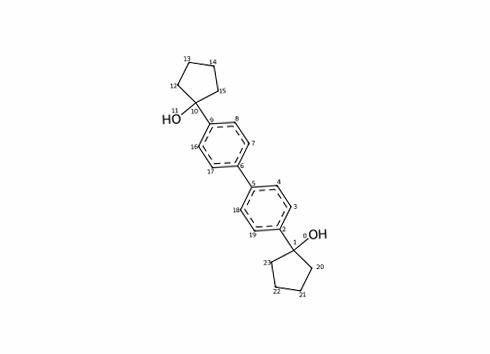 OC1(c2ccc(-c3ccc(C4(O)CCCC4)cc3)cc2)CCCC1